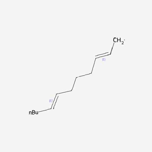 [CH2]/C=C/CCC/C=C/CCCC